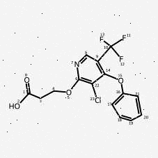 O=C(O)CCOc1ncc(C(F)(F)F)c(Oc2ccccc2)c1Cl